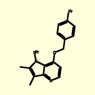 CCCn1c(C)c(C)c2nccc(OCc3ccc(C(C)C)cc3)c21